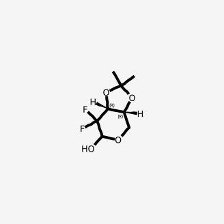 CC1(C)O[C@@H]2[C@@H](COC(O)C2(F)F)O1